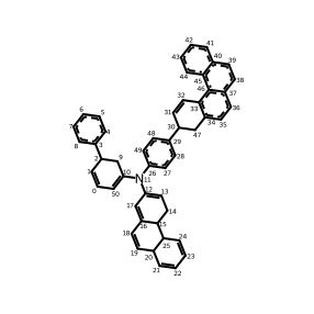 C1=CC(c2ccccc2)CC(N(C2=CCC3C(=C2)C=CC2C=CC=CC23)c2ccc(C3C=Cc4c(ccc5ccc6ccccc6c45)C3)cc2)=C1